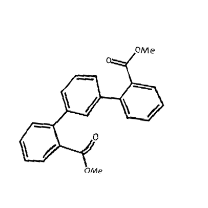 COC(=O)c1ccccc1-c1cccc(-c2ccccc2C(=O)OC)c1